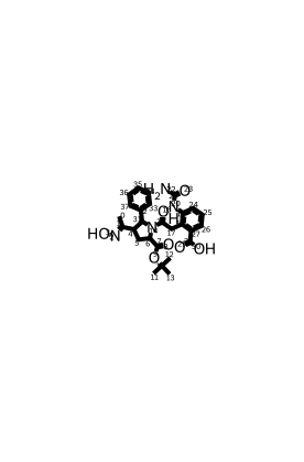 C/C(=N\O)C1CC(C(=O)OC(C)(C)C)N(C(=O)Cc2c(NC(N)=O)cccc2C(=O)O)C1c1ccccc1